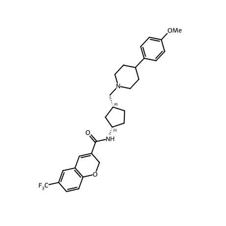 COc1ccc(C2CCN(C[C@@H]3CC[C@H](NC(=O)C4=Cc5cc(C(F)(F)F)ccc5OC4)C3)CC2)cc1